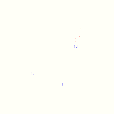 CN1CCC(c2c[nH]c3ccc(CCCNOOS)cc23)CC1